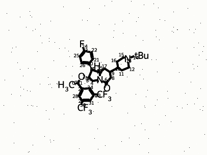 C[C@@H](O[C@H]1CN2C(=O)CC(C3CCN(C(C)(C)C)CC3)C[C@H]2[C@@H]1c1ccc(F)cc1)c1cc(C(F)(F)F)cc(C(F)(F)F)c1